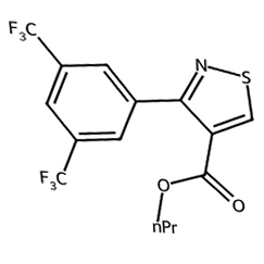 CCCOC(=O)c1csnc1-c1cc(C(F)(F)F)cc(C(F)(F)F)c1